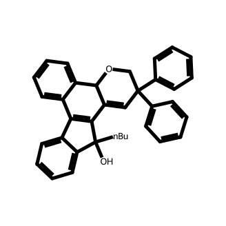 CCCCC1(O)C2=C(c3ccccc3C3OCC(c4ccccc4)(c4ccccc4)C=C23)c2ccccc21